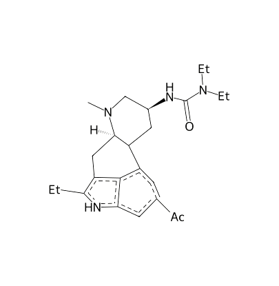 CCc1[nH]c2cc(C(C)=O)cc3c2c1C[C@@H]1C3C[C@H](NC(=O)N(CC)CC)CN1C